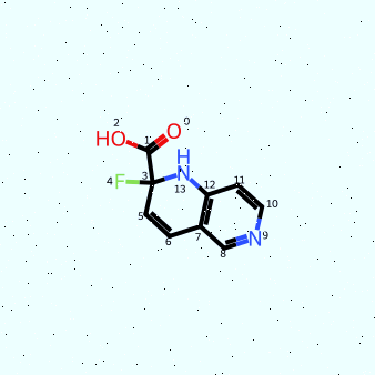 O=C(O)C1(F)C=Cc2cnccc2N1